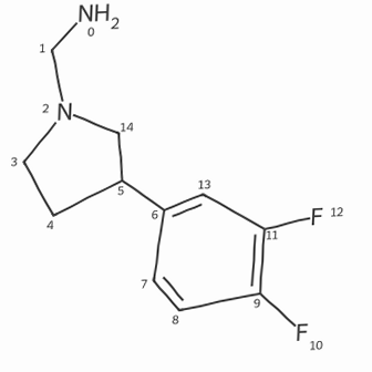 NCN1CCC(c2ccc(F)c(F)c2)C1